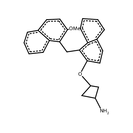 COc1ccc2ccccc2c1Cc1c(OC2CC(N)C2)ccc2ccccc12